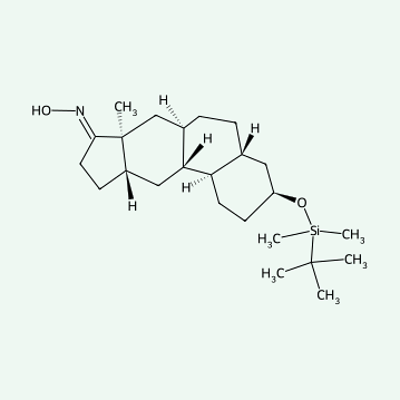 CC(C)(C)[Si](C)(C)O[C@H]1CC[C@@H]2[C@H](CC[C@@H]3C[C@]4(C)/C(=N/O)CC[C@H]4C[C@H]32)C1